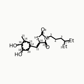 CCC(CC)CCCN1C(=O)S/C(=C\c2cc(C)c(O)c(O)c2)C1=O